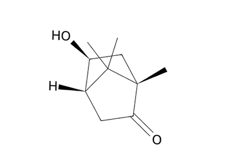 CC1(C)[C@@H]2CC(=O)[C@@]1(C)C[C@@H]2O